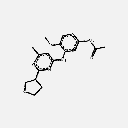 COc1cnc(NC(C)=O)cc1Nc1cc(C)nc(C2CCOC2)n1